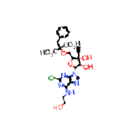 C#C[C@@]1(O)C(COC(Cc2ccccc2)(C(=O)O)C(=O)O)O[C@@H](n2cnc3c(NCCO)nc(Cl)nc32)[C@@H]1O